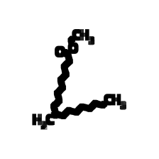 C=C(CCCCCCCC)CCCCCCCCC(=O)OCC